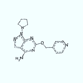 Nc1nc(OCc2ccncc2)nc2c1cnn2N1CCCC1